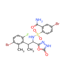 Cc1c(Br)ccc(F)c1C(C)C(NS(=O)(=O)c1ccc(Br)cc1C(N)=O)c1n[nH]c(=O)o1